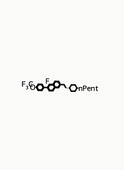 CCCCC[C@H]1CC[C@H](CCc2ccc3c(F)c(-c4ccc(OC(F)(F)F)cc4)ccc3c2)CC1